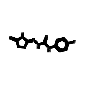 O=C1CSC(=NNC(=O)Nc2ccc(F)cc2)N1